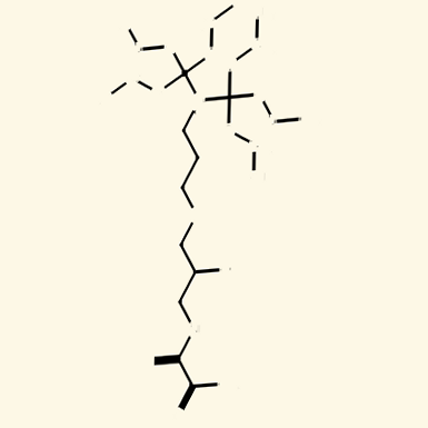 C=C(C)C(=O)NCC(O)COCCC[SiH](C(O[SiH2]C)(O[SiH2]C)O[SiH2]C)C(O[SiH2]C)(O[SiH2]C)O[SiH2]C